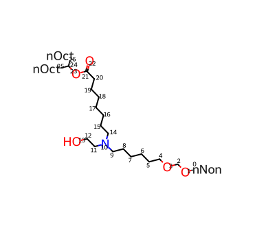 CCCCCCCCCOCOCCCCCCN(CCO)CCCCCCCC(=O)OC(CCCCCCCC)CCCCCCCC